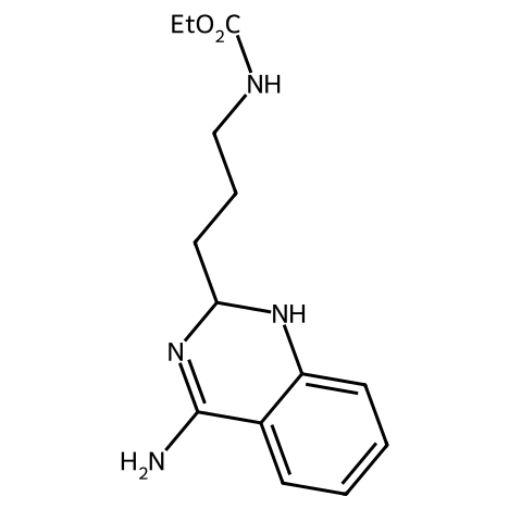 CCOC(=O)NCCCC1N=C(N)c2ccccc2N1